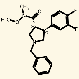 CON(C)C(=O)[C@H]1CN(Cc2ccccc2)C[C@@H]1c1ccc(F)c(F)c1